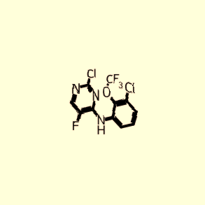 Fc1cnc(Cl)nc1Nc1cccc(Cl)c1OC(F)(F)F